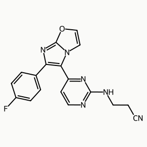 N#CCCNc1nccc(-c2c(-c3ccc(F)cc3)nc3occn23)n1